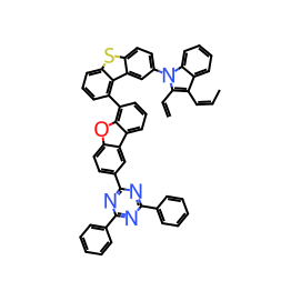 C=Cc1c(/C=C\C)c2ccccc2n1-c1ccc2sc3cccc(-c4cccc5c4oc4ccc(-c6nc(-c7ccccc7)nc(-c7ccccc7)n6)cc45)c3c2c1